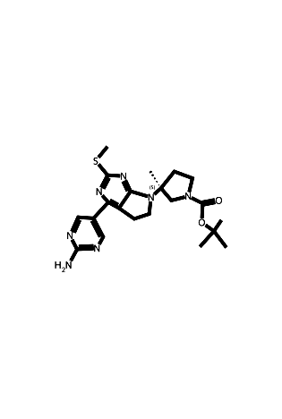 CSc1nc(-c2cnc(N)nc2)c2c(n1)N([C@@]1(C)CCN(C(=O)OC(C)(C)C)C1)CC2